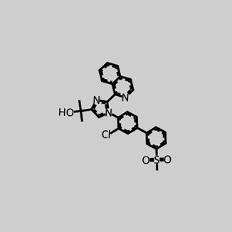 CC(C)(O)c1cn(-c2ccc(-c3cccc(S(C)(=O)=O)c3)cc2Cl)c(-c2nccc3ccccc23)n1